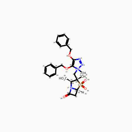 C[C@]1(C[N+]2(C)N=NC(OCc3ccccc3)=C2OCc2ccccc2)[C@H](C(=O)O)N2C(=O)C[C@@H]2S1(=O)=O